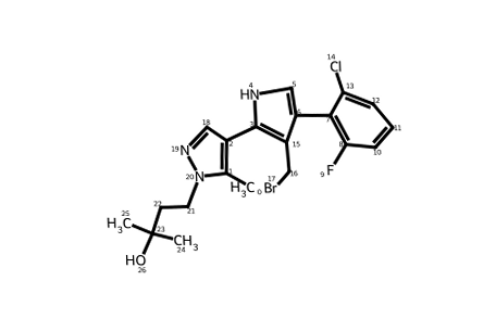 Cc1c(-c2[nH]cc(-c3c(F)cccc3Cl)c2CBr)cnn1CCC(C)(C)O